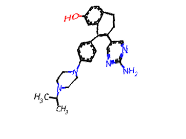 CC(C)N1CCN(c2ccc(C3=C(c4cnc(N)nc4)CCc4ccc(O)cc43)cc2)CC1